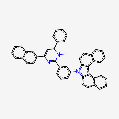 CN1C(c2cccc(-n3c4ccc5ccccc5c4c4c5ccccc5ccc43)c2)=NC(c2ccc3ccccc3c2)=CC1c1ccccc1